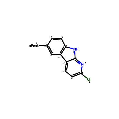 CCCCCc1ccc2[nH]c3nc(Cl)ccc3c2c1